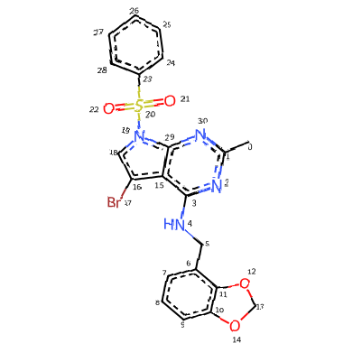 Cc1nc(NCc2cccc3c2OCO3)c2c(Br)cn(S(=O)(=O)c3ccccc3)c2n1